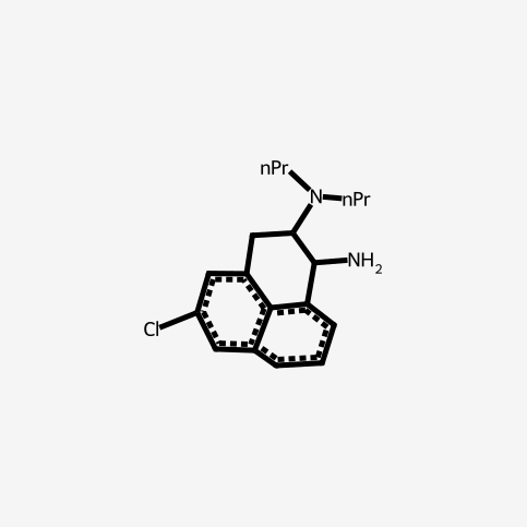 CCCN(CCC)C1Cc2cc(Cl)cc3cccc(c23)C1N